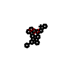 CC1(C)c2ccccc2-c2ccc(N(c3ccccc3)c3ccc4c(c3)C3(c5ccccc5-4)c4ccc(-c5ccccc5)cc4-c4cc(-c5ccccc5)c(N(c5ccccc5)c5ccccc5)cc43)cc21